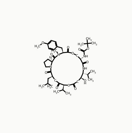 COc1ccc(C[C@H]2C(=O)OC[C@H](NC(=O)OC(C)(C)C)C(=O)N[C@H](C(C)C)[C@@H](O)CC(=O)O[C@@H](C(C)C)C(=O)C[C@@H](CC(C)C)C(=O)N3CCC[C@H]3C(=O)N2C)cc1